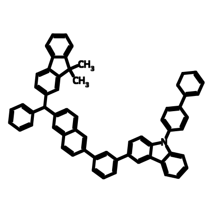 CC1(C)c2ccccc2-c2ccc(C(c3ccccc3)c3ccc4cc(-c5cccc(-c6ccc7c(c6)c6ccccc6n7-c6ccc(C7=CC=CCC7)cc6)c5)ccc4c3)cc21